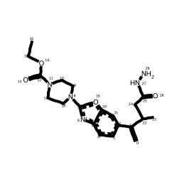 C=C(c1ccc2nc(N3CCN(C(=O)OCC)CC3)oc2c1)C(C)CC(=O)NN